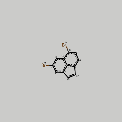 Brc1cc2c3c(ccc(Br)c3c1)C=C2